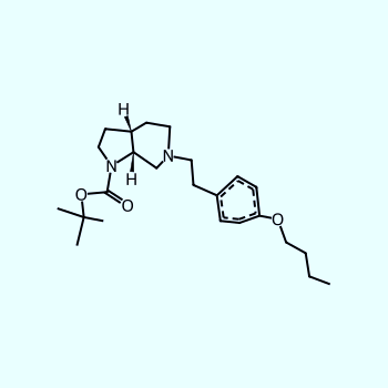 CCCCOc1ccc(CCN2CC[C@H]3CCN(C(=O)OC(C)(C)C)[C@H]3C2)cc1